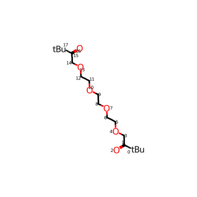 CC(C)(C)C(=O)COCCOCCOCCOCC(=O)C(C)(C)C